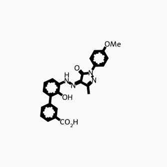 COc1ccc(N2N=C(C)C(=NNc3cccc(-c4cccc(C(=O)O)c4)c3O)C2=O)cc1